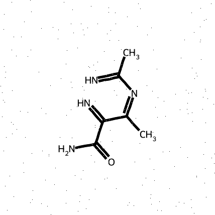 CC(=N)/N=C(/C)C(=N)C(N)=O